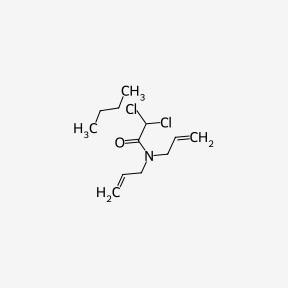 C=CCN(CC=C)C(=O)C(Cl)Cl.CCCC